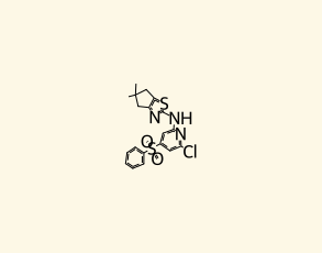 CC1(C)Cc2nc(Nc3cc(S(=O)(=O)c4ccccc4)cc(Cl)n3)sc2C1